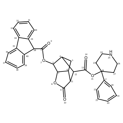 O=C(OC1C2CC3C1OC(=O)C3C2C(=O)OC1(c2ccccc2)CCNCC1)C1c2ccccc2-c2ccccc21